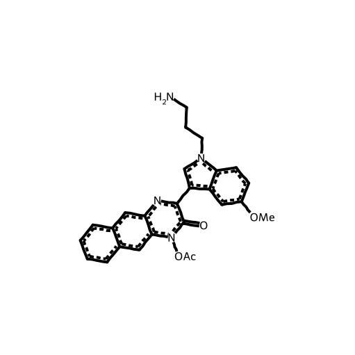 COc1ccc2c(c1)c(-c1nc3cc4ccccc4cc3n(OC(C)=O)c1=O)cn2CCCN